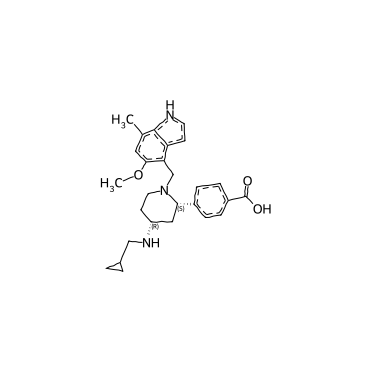 COc1cc(C)c2[nH]ccc2c1CN1CC[C@@H](NCC2CC2)C[C@H]1c1ccc(C(=O)O)cc1